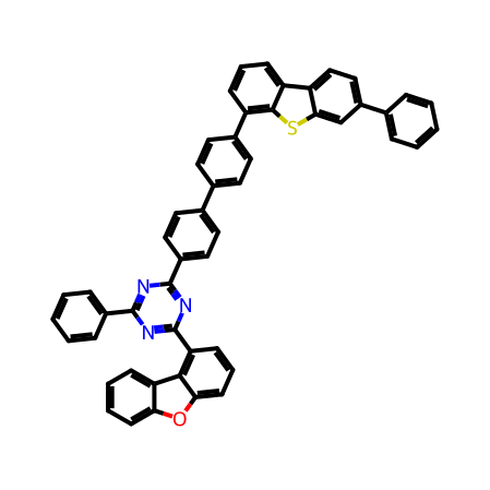 c1ccc(-c2ccc3c(c2)sc2c(-c4ccc(-c5ccc(-c6nc(-c7ccccc7)nc(-c7cccc8oc9ccccc9c78)n6)cc5)cc4)cccc23)cc1